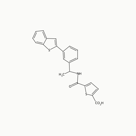 CC(NC(=O)c1ccc(C(=O)O)s1)c1cccc(-c2cc3ccccc3s2)c1